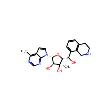 Cc1ncnc2c1ccn2[C@@H]1O[C@H](C(O)c2cccc3c2CNCC3)[C@@](C)(O)[C@H]1O